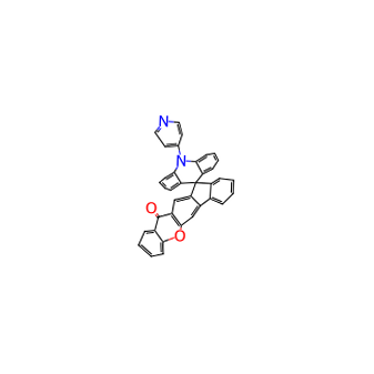 O=c1c2ccccc2oc2cc3c(cc12)C1(c2ccccc2-3)c2ccccc2N(c2ccncc2)c2ccccc21